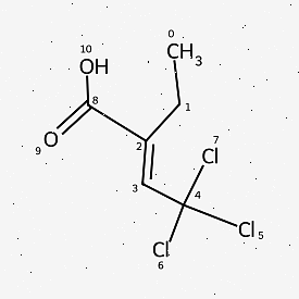 CC/C(=C\C(Cl)(Cl)Cl)C(=O)O